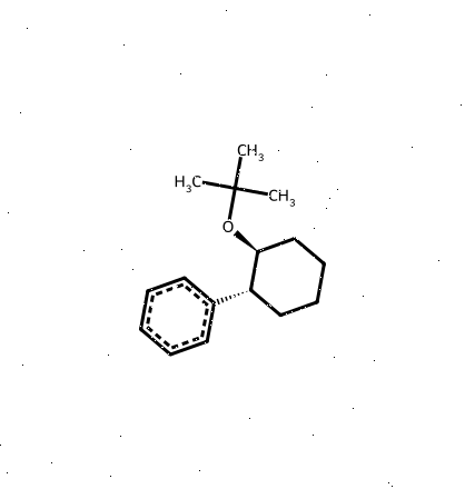 CC(C)(C)O[C@H]1CCCC[C@@H]1c1ccccc1